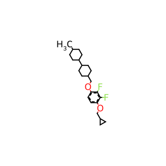 CC1CCC(C2CCC(COc3ccc(OCC4CC4)c(F)c3F)CC2)CC1